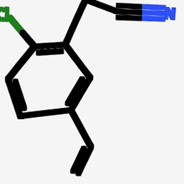 C=Cc1ccc(Cl)c(CC#N)c1